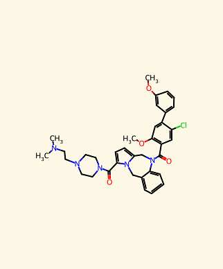 COc1cccc(-c2cc(OC)c(C(=O)N3Cc4ccc(C(=O)N5CCN(CCN(C)C)CC5)n4Cc4ccccc43)cc2Cl)c1